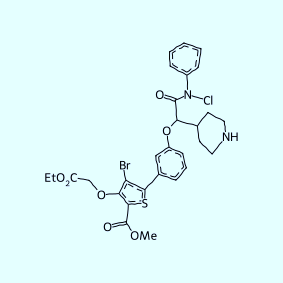 CCOC(=O)COc1c(C(=O)OC)sc(-c2cccc(OC(C(=O)N(Cl)c3ccccc3)C3CCNCC3)c2)c1Br